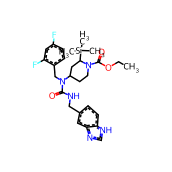 CCOC(=O)N1CCC(N(Cc2ccc(F)cc2F)C(=O)NCc2ccc3[nH]cnc3c2)CC1[Si](C)(C)C